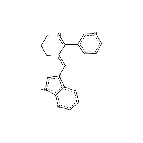 C(=C1/CCCN=C1c1cccnc1)/c1c[nH]c2ncccc12